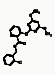 COc1cc(OC)nc(Oc2cccnc2C(=O)OCc2ccccc2Cl)n1